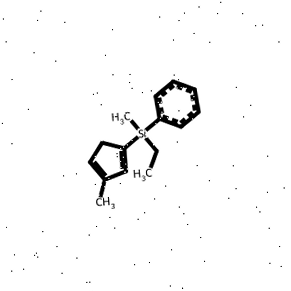 CC[Si](C)(C1=CC(C)=CC1)c1ccccc1